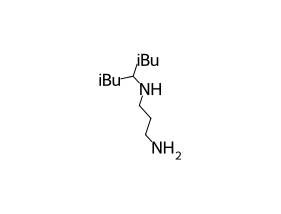 CCC(C)C(NCCCN)C(C)CC